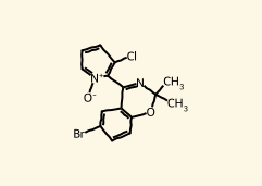 CC1(C)N=C(c2c(Cl)ccc[n+]2[O-])c2cc(Br)ccc2O1